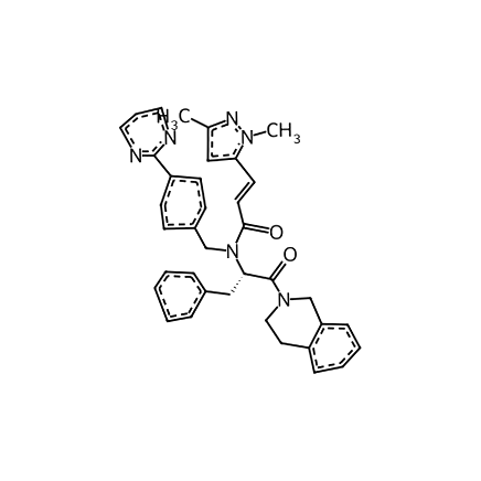 Cc1cc(C=CC(=O)N(Cc2ccc(-c3ncccn3)cc2)[C@@H](Cc2ccccc2)C(=O)N2CCc3ccccc3C2)n(C)n1